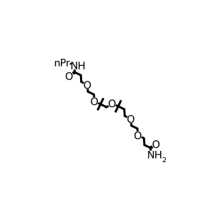 CCCNC(=O)CCOCCOC(C)(C)COC(C)(C)CCOCCOCCC(N)=O